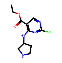 CCOC(=O)c1cnc(Cl)nc1NC1CCNC1